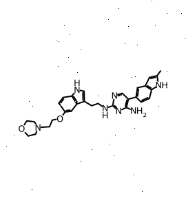 Cc1cc2cc(-c3cnc(NCCc4c[nH]c5ccc(OCCN6CCOCC6)cc45)nc3N)ccc2[nH]1